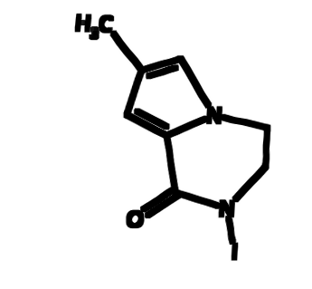 Cc1cc2n(c1)CCN(I)C2=O